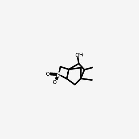 CC1C(O)C23CC1(C)CC2S(=O)(=O)C3